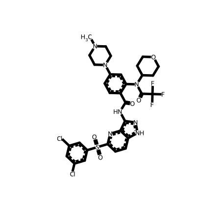 CN1CCN(c2ccc(C(=O)Nc3n[nH]c4ccc(S(=O)(=O)c5cc(Cl)cc(Cl)c5)nc34)c(N(C(=O)C(F)(F)F)C3CCOCC3)c2)CC1